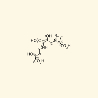 O=C(O)[C@@H](NCC[C@H](O)C(=O)O)C(O)CN1CC[C@H]1C(=O)O